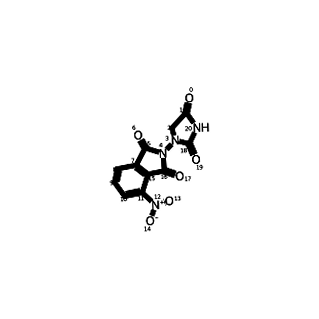 O=C1CN(N2C(=O)c3cccc([N+](=O)[O-])c3C2=O)C(=O)N1